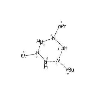 CCCCN1BN(CC)BN(CCC)B1